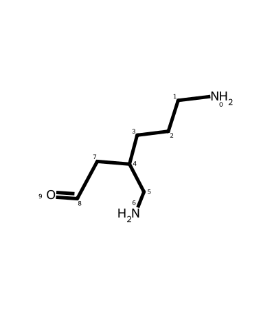 NCCCC(CN)CC=O